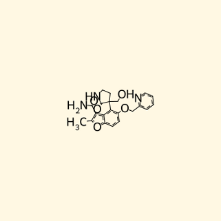 Cc1oc2ccc(OCc3ccccn3)c(C3(CO)CCNC3=O)c2c1C(N)=O